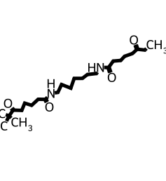 CCC(=O)CCCCC(=O)NCCCCCCCNC(=O)CCCCC(=O)C(C)(C)C